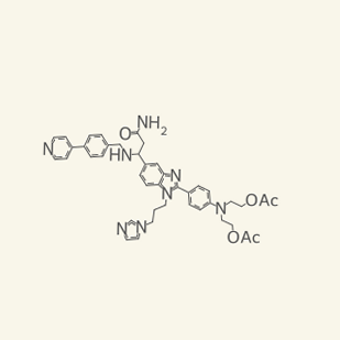 CC(=O)OCCN(CCOC(C)=O)c1ccc(-c2nc3cc(C(CC(N)=O)NCc4ccc(-c5ccncc5)cc4)ccc3n2CCCn2ccnc2)cc1